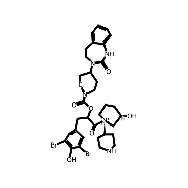 O=C(OC(Cc1cc(Br)c(O)c(Br)c1)C(=O)[N@+]1(C2CCNCC2)CCC[C@@H](O)C1)N1CCC(N2CCc3ccccc3NC2=O)CC1